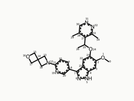 COc1cc2[nH]nc(-c3ccc(N4CC5(COC5)C4)nc3)c2cc1OC(C)c1c(C)cnnc1C